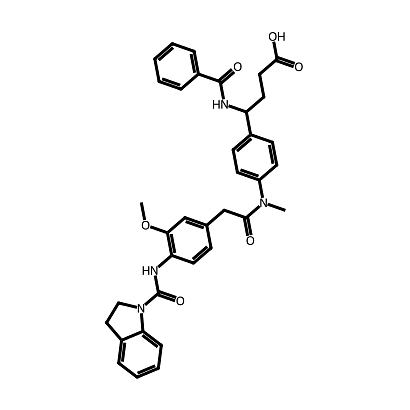 COc1cc(CC(=O)N(C)c2ccc(C(CCC(=O)O)NC(=O)c3ccccc3)cc2)ccc1NC(=O)N1CCc2ccccc21